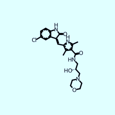 Cc1[nH]c(C=C2C(=O)Nc3ccc(Cl)cc32)c(C)c1C(=O)NC[C@@H](O)CN1CCOCC1